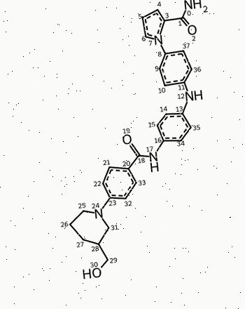 NC(=O)c1cccn1-c1ccc(Nc2ccc(NC(=O)c3ccc(N4CCCC(CO)C4)cc3)cc2)cc1